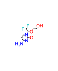 Nc1ccn(C(OCCO)C(F)F)c(=O)n1